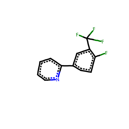 Fc1ccc(-c2ccccn2)cc1C(F)(F)F